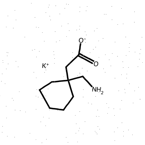 NCC1(CC(=O)[O-])CCCCC1.[K+]